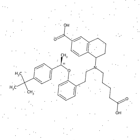 C[C@@H](Oc1ccccc1CCN(CCCCC(=O)O)C1CCCc2cc(C(=O)O)ccc21)c1ccc(C(C)(C)C)cc1